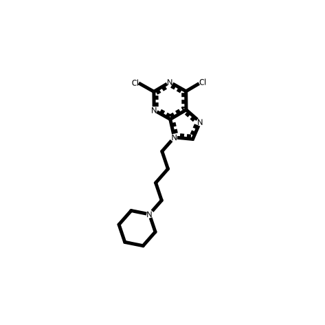 Clc1nc(Cl)c2ncn(CCCCN3CCCCC3)c2n1